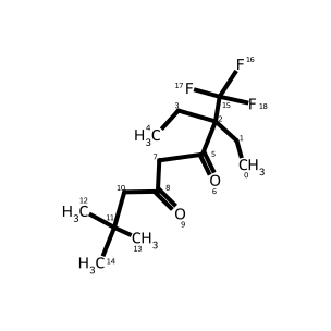 CCC(CC)(C(=O)CC(=O)CC(C)(C)C)C(F)(F)F